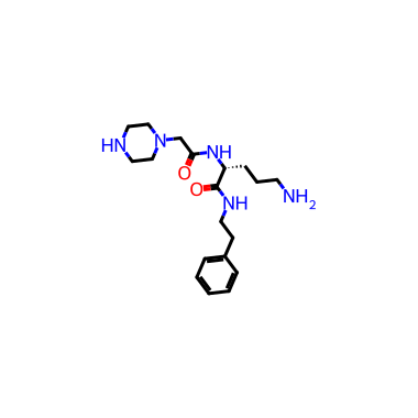 NCCC[C@@H](NC(=O)CN1CCNCC1)C(=O)NCCc1ccccc1